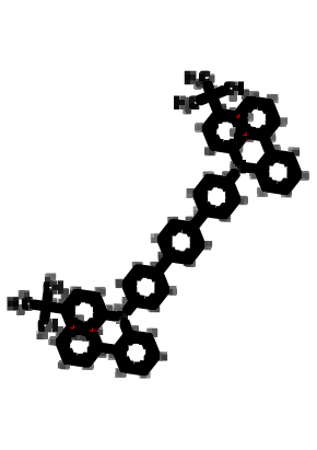 CC(C)(C)c1ccc(N(c2ccc(-c3ccc(-c4ccc(N(c5ccc(C(C)(C)C)cc5)c5ccccc5-c5ccccc5)cc4)cc3)cc2)c2ccccc2-c2ccccc2)cc1